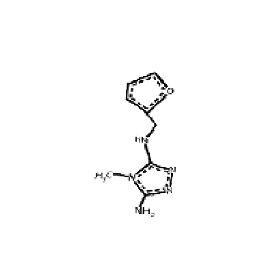 Cn1c(N)nnc1NCc1ccco1